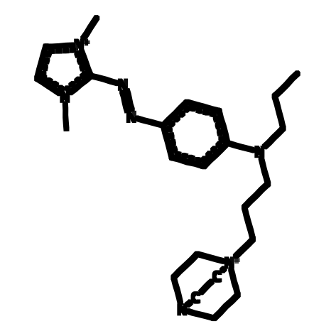 CCCN(CCC[N+]12CCN(CC1)CC2)c1ccc(/N=N/c2n(C)cc[n+]2C)cc1